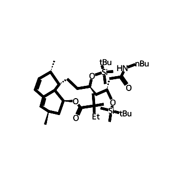 CCCCNC(=O)C[C@@H](C[C@@H](CC[C@@H]1C2C(=C[C@H](C)C[C@@H]2OC(=O)C(C)(C)CC)C=C[C@@H]1C)O[Si](C)(C)C(C)(C)C)O[Si](C)(C)C(C)(C)C